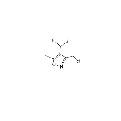 Cc1onc(CCl)c1C(F)F